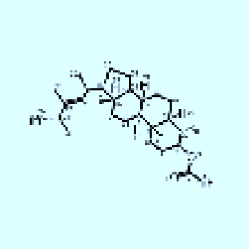 CCCC(=O)O[C@H]1CC[C@@]2(C)[C@@H](CC[C@@H]3[C@@H]2CC[C@]2(C)[C@@H]([C@H](C)/C=C(\C)[C@H](C)C(C)C)CC[C@@H]32)[C@@H]1C